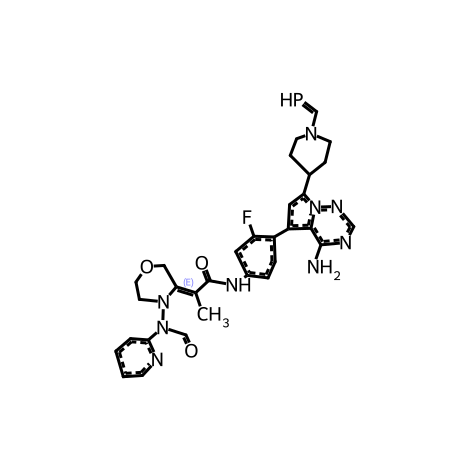 C/C(C(=O)Nc1ccc(-c2cc(C3CCN(C=P)CC3)n3ncnc(N)c23)c(F)c1)=C1/COCCN1N(C=O)c1ccccn1